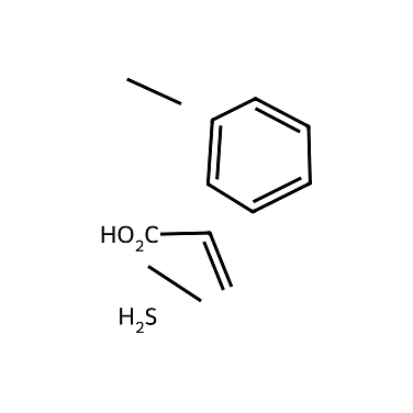 C=CC(=O)O.CC.CC.S.c1ccccc1